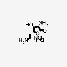 Cl.Cl.NCC[C@H]1OC(=O)[C@@H](N)[C@H]1O